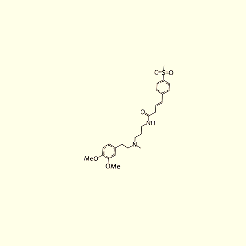 COc1ccc(CCN(C)CCCNC(=O)C/C=C/c2ccc(S(C)(=O)=O)cc2)cc1OC